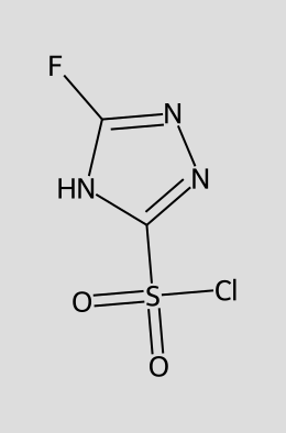 O=S(=O)(Cl)c1nnc(F)[nH]1